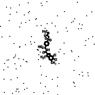 COC(=O)CS(=O)(=O)c1ccc([C@@H](CO)NC(=O)c2cc3c(Cl)c(Cl)c(C)cc3n2C)cc1